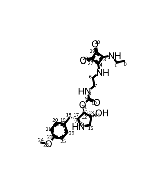 CCNc1c(NCCNC(=O)O[C@@H]2[C@@H](O)CN[C@@H]2Cc2ccc(OC)cc2)c(=O)c1=O